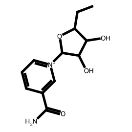 CCC1OC([n+]2cccc(C(N)=O)c2)C(O)C1O